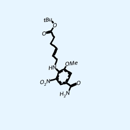 COc1cc(C(N)=O)cc([N+](=O)[O-])c1NC/C=C/CCC(=O)OC(C)(C)C